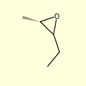 CCC1O[C@H]1C